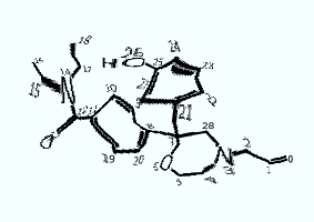 C=CCN1CCOC(c2ccc(C(=O)N(CC)CC)cc2)(c2cccc(O)c2)C1